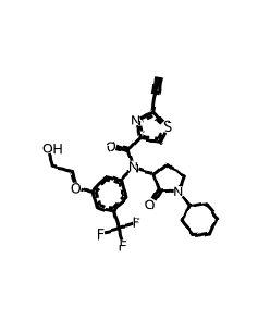 C#Cc1nc(C(=O)N(c2cc(OCCO)cc(C(F)(F)F)c2)C2CCN(C3CCCCC3)C2=O)cs1